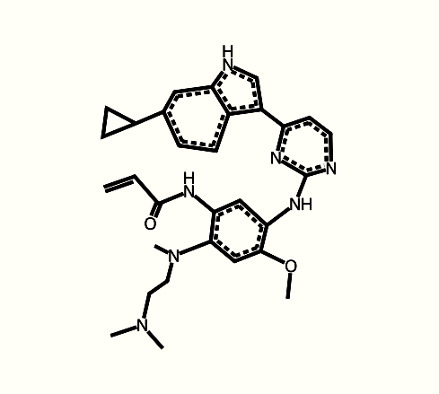 C=CC(=O)Nc1cc(Nc2nccc(-c3c[nH]c4cc(C5CC5)ccc34)n2)c(OC)cc1N(C)CCN(C)C